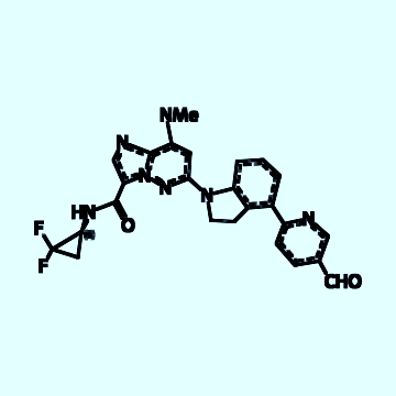 CNc1cc(N2CCc3c(-c4ccc(C=O)cn4)cccc32)nn2c(C(=O)N[C@H]3CC3(F)F)cnc12